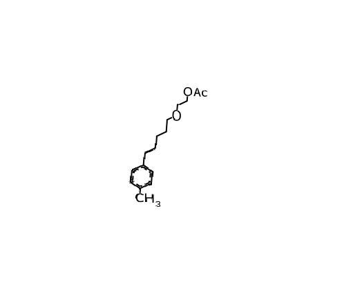 CC(=O)OCCOCCCCCc1ccc(C)cc1